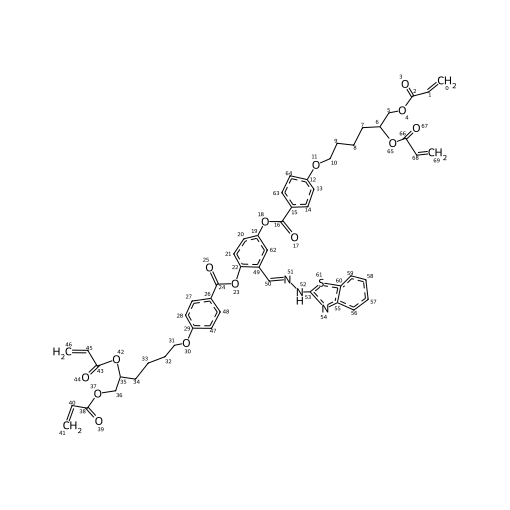 C=CC(=O)OCC(CCCCOc1ccc(C(=O)Oc2ccc(OC(=O)c3ccc(OCCCCC(COC(=O)C=C)OC(=O)C=C)cc3)c(/C=N/Nc3nc4ccccc4s3)c2)cc1)OC(=O)C=C